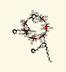 CN[C@H](CSCC1OC2O[C@@H]3C(CO)O[C@H](O[C@@H]4C(CO)O[C@H](O[C@@H]5C(CO)O[C@@H](O[C@@H]6C(CSC[C@@H](CC(=O)CCOCCOCCC(C)=O)C(=O)NCCSSc7ccccn7)O[C@H](O[C@@H]7C(CO)O[C@@H](O[C@@H]8C(CO)O[C@@H](O[C@H]1[C@H](O)C2O)C(O)[C@H]8O)C(O)[C@H]7O)C(O)[C@H]6O)C(O)[C@H]5O)C(O)[C@H]4O)C(O)[C@H]3O)C(=O)NCCSSc1ccccn1